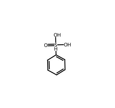 O=[SH](O)(O)c1ccccc1